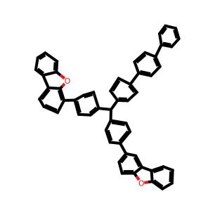 c1ccc(-c2ccc(-c3ccc(C(c4ccc(-c5ccc6oc7ccccc7c6c5)cc4)c4ccc(-c5cccc6c5oc5ccccc56)cc4)cc3)cc2)cc1